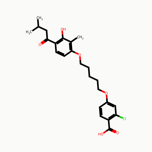 Cc1c(OCCCCCOc2ccc(C(=O)O)c(Cl)c2)ccc(C(=O)CC(C)C)c1O